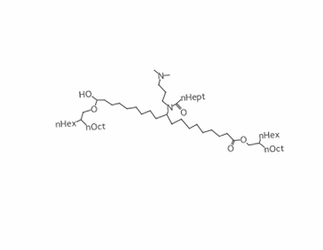 CCCCCCCCC(CCCCCC)COC(=O)CCCCCCCCC(CCCCCCCCC(O)OCC(CCCCCC)CCCCCCCC)N(CCCN(C)C)C(=O)CCCCCCC